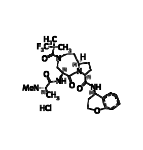 CN[C@@H](C)C(=O)N[C@H]1CN(C(=O)C(C)(C)C(F)(F)F)CC[C@H]2CC[C@@H](C(=O)N[C@@H]3CCOc4ccccc43)N2C1=O.Cl